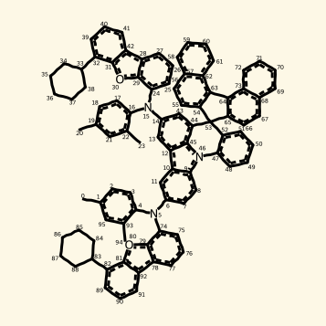 Cc1ccc(N(c2ccc3c(c2)c2cc(N(c4ccc(C)cc4C)c4cccc5c4oc4c(C6CCCCC6)cccc45)cc4c2n3-c2ccccc2C42c3ccc4ccccc4c3-c3c2ccc2ccccc32)c2cccc3c2oc2c(C4CCCCC4)cccc23)c(C)c1